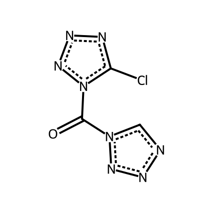 O=C(n1cnnn1)n1nnnc1Cl